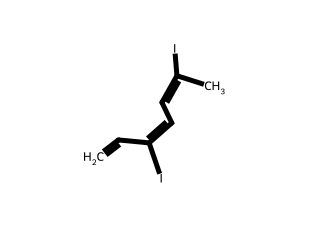 C=C/C(I)=C\C=C(/C)I